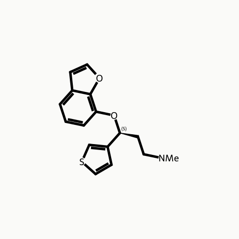 CNCC[C@H](Oc1cccc2ccoc12)c1ccsc1